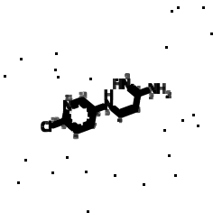 N=C(N)/C=C\Nc1ccc(Cl)nc1